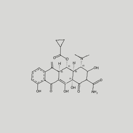 C=C1c2cccc(O)c2C(=O)C2=C(O)[C@]3(O)C(=O)C(C(N)=O)C(O)[C@@H](N(C)C)[C@@H]3[C@@H](OC(=O)C3CC3)[C@H]12